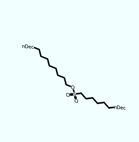 CCCCCCCCCCCCCCCCCCOS(=O)(=O)CCCCCCCCCCCCCCCC